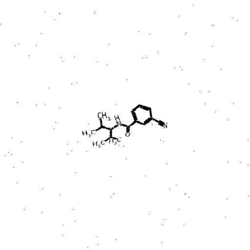 CC(C)C(NC(=O)c1cccc(C#N)c1)C(C)C